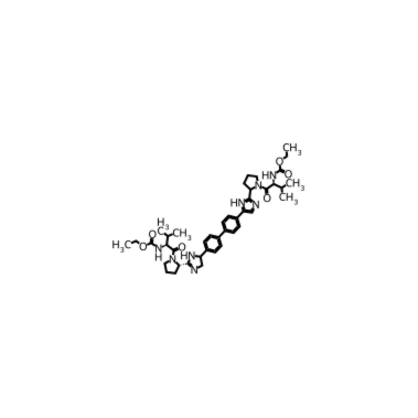 CCOC(=O)N[C@H](C(=O)N1CCCC1c1ncc(-c2ccc(-c3ccc(C4CN=C([C@@H]5CCCN5C(=O)[C@@H](NC(=O)OCC)C(C)C)N4)cc3)cc2)[nH]1)C(C)C